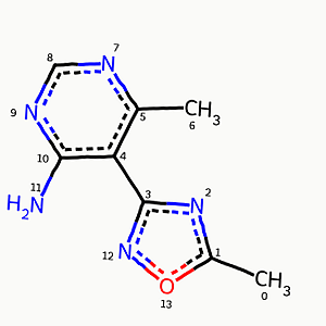 Cc1nc(-c2c(C)ncnc2N)no1